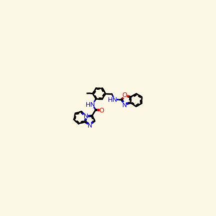 Cc1ccc(CNc2nc3ccccc3o2)cc1NC(=O)c1cnc2ccccn12